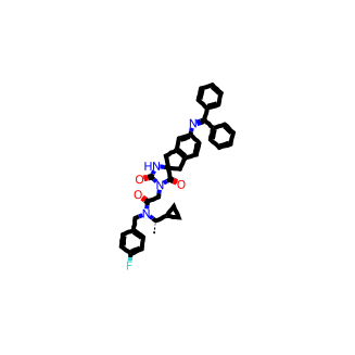 C[C@@H](C1CC1)N(Cc1ccc(F)cc1)C(=O)CN1C(=O)NC2(Cc3ccc(N=C(c4ccccc4)c4ccccc4)cc3C2)C1=O